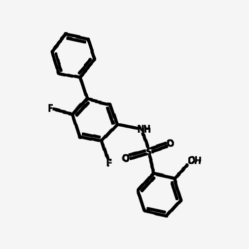 O=S(=O)(Nc1cc(-c2ccccc2)c(F)cc1F)c1ccccc1O